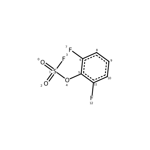 O=S(=O)(F)Oc1c(F)cccc1F